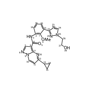 COc1c(NC(=O)c2cnn3ccc(C4CC4)nc23)cccc1-c1ncn(CCO)n1